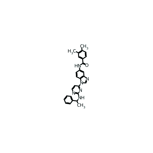 Cc1ccc(C(=O)Nc2ccc3c(c2)ncn3-c2ccnc(NC(C)c3ccccc3)n2)cc1C